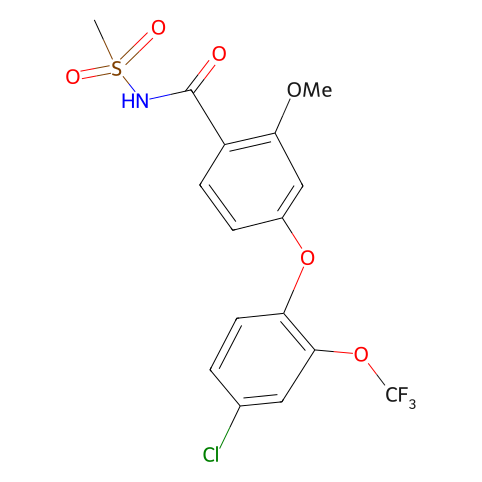 COc1cc(Oc2ccc(Cl)cc2OC(F)(F)F)ccc1C(=O)NS(C)(=O)=O